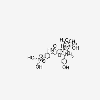 CC1(C)S[C@@H]2[C@H](N(Cc3ccc(-c4ccc(S(=O)(=O)N(CCO)CCO)cc4)[nH]c3=O)C(=O)C(N)c3ccc(O)cc3)C(=O)N2[C@H]1C(=O)O